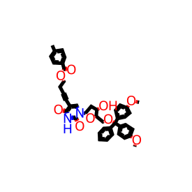 COc1ccc(C(OCC2OC(n3cc(C#CCCOC(=O)c4ccc(C)cc4)c(=O)[nH]c3=O)CC2O)(c2ccccc2)c2ccc(OC)cc2)cc1